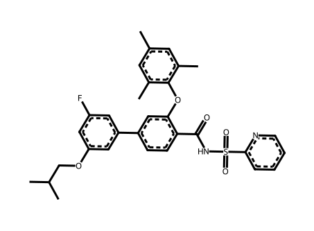 Cc1cc(C)c(Oc2cc(-c3cc(F)cc(OCC(C)C)c3)ccc2C(=O)NS(=O)(=O)c2ccccn2)c(C)c1